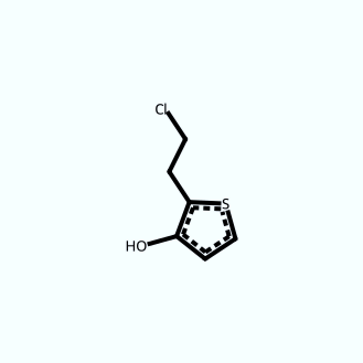 Oc1ccsc1CCCl